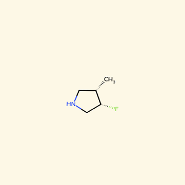 C[C@H]1CNC[C@H]1F